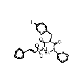 CCN(C(=O)C(Cc1ccc(F)cc1)C(=O)NS(=O)(=O)/C=C/c1ccccc1)c1ccccc1